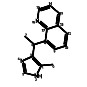 Cc1[nH]cnc1C(C)c1cccc2cccnc12